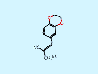 CCOC(=O)/C(C#N)=C/c1ccc2c(c1)OCCO2